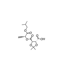 C#C[C@H](OC(=O)[C@@H]1OC(C)(C)O[C@H]1C(=O)O)C(=O)OCC(C)C